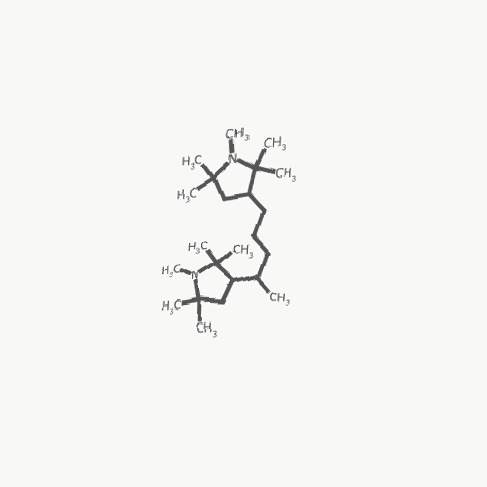 CC(CCCC1CC(C)(C)N(C)C1(C)C)C1CC(C)(C)N(C)C1(C)C